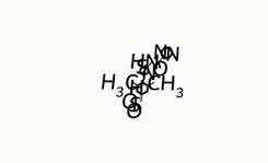 Cc1cc(C[SH](=O)=O)cc(C)c1-c1csc(NC(=O)c2cnccn2)n1